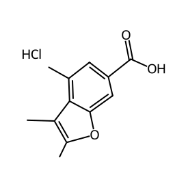 Cc1oc2cc(C(=O)O)cc(C)c2c1C.Cl